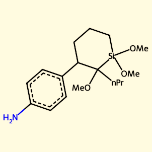 CCCC1(OC)C(c2ccc(N)cc2)CCC[Si]1(OC)OC